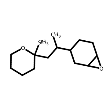 CC(CC1([SiH3])CCCCO1)C1CCC2OC2C1